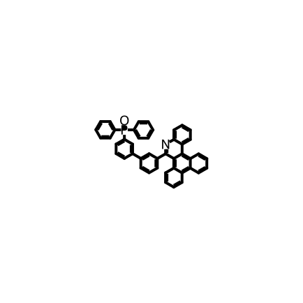 O=P(c1ccccc1)(c1ccccc1)c1cccc(-c2cccc(-c3nc4ccccc4c4c5ccccc5c5ccccc5c34)c2)c1